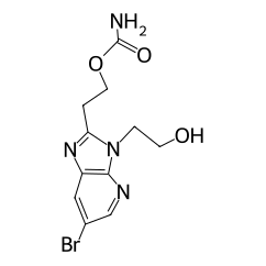 NC(=O)OCCc1nc2cc(Br)cnc2n1CCO